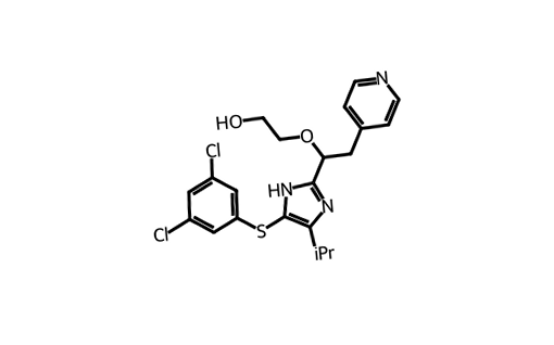 CC(C)c1nc(C(Cc2ccncc2)OCCO)[nH]c1Sc1cc(Cl)cc(Cl)c1